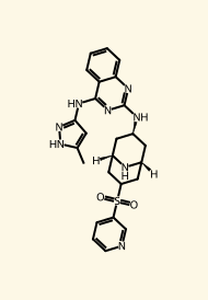 Cc1cc(Nc2nc(N[C@@H]3C[C@H]4CC(S(=O)(=O)c5cccnc5)C[C@@H](C3)N4)nc3ccccc23)n[nH]1